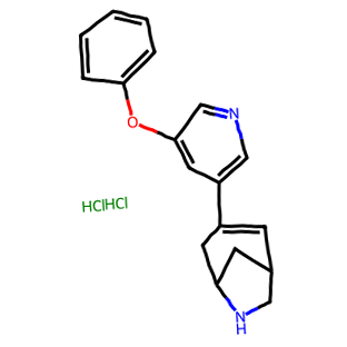 C1=C(c2cncc(Oc3ccccc3)c2)CC2CC1CN2.Cl.Cl